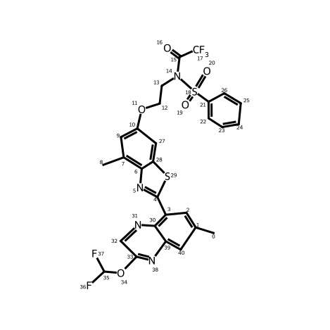 Cc1cc(-c2nc3c(C)cc(OCCN(C(=O)C(F)(F)F)S(=O)(=O)c4ccccc4)cc3s2)c2ncc(OC(F)F)nc2c1